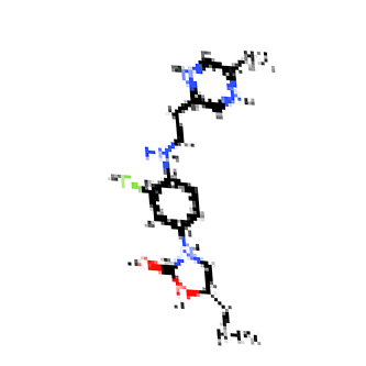 CC(=O)NC[C@H]1CN(c2ccc(NCCc3cnc([N+](=O)[O-])cn3)c(F)c2)C(=O)O1